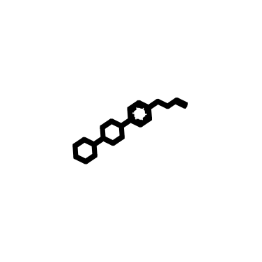 C=CCCc1ccc(C2CCC(C3CCCCC3)CC2)cc1